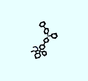 C=CC1=C(/C=C\C)C(c2ccccc2)(c2ccc(-c3ccc(N(c4ccccc4)c4ccc(-c5ccccc5)cc4)cc3)cc2)c2ccccc21